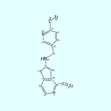 CCOC(=O)c1nccc2sc(NCc3ccc(OCC)nc3)cc12